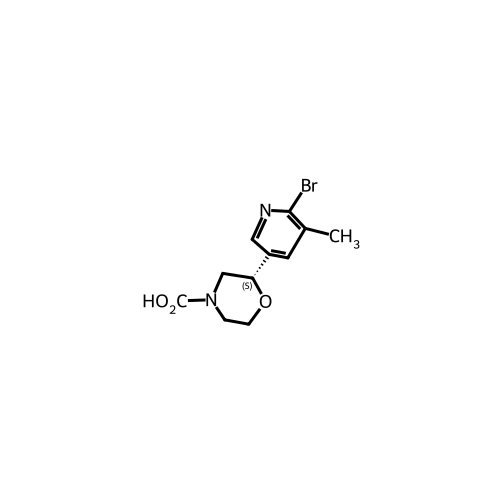 Cc1cc([C@H]2CN(C(=O)O)CCO2)cnc1Br